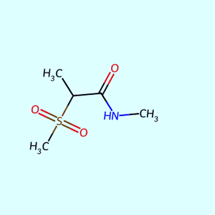 CNC(=O)C(C)S(C)(=O)=O